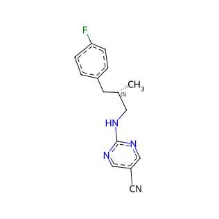 C[C@H](CNc1ncc(C#N)cn1)Cc1ccc(F)cc1